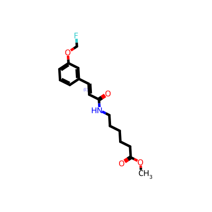 COC(=O)CCCCCNC(=O)/C=C/c1cccc(OCF)c1